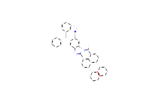 N#Cc1cc2c(cc1C(c1ccccc1)c1ccccc1)nc1c3ccc(-c4ccccc4)c4c(-c5ccccc5)ccc(c(=O)n21)c43